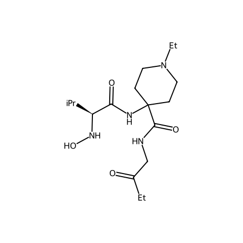 CCC(=O)CNC(=O)C1(NC(=O)[C@@H](NO)C(C)C)CCN(CC)CC1